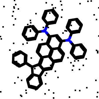 c1ccc(B2c3ccccc3-c3cc4ccc5c(N(c6ccccc6)c6ccccc6)cc(N(c6ccccc6)c6ccccc6)c6ccc(c32)c4c56)cc1